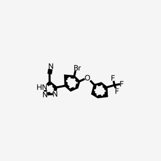 N#Cc1[nH]nnc1-c1ccc(Oc2cccc(C(F)(F)F)c2)c(Br)c1